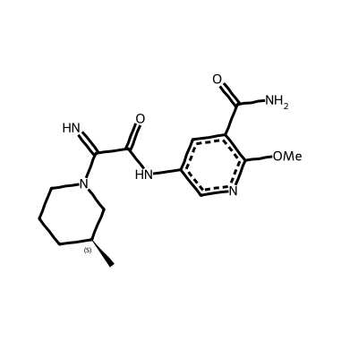 COc1ncc(NC(=O)C(=N)N2CCC[C@H](C)C2)cc1C(N)=O